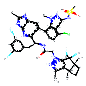 Cc1nc2nc([C@H](Cc3cc(F)cc(F)c3)NC(=O)Cn3nc(C(F)(F)F)c4c3C(F)(F)[C@@H]3CC[C@H]43)c(-c3ccc(Cl)c4c(NS(C)(=O)=O)nn(C)c34)cc2[nH]1